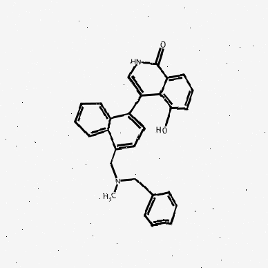 CN(Cc1ccccc1)Cc1ccc(-c2c[nH]c(=O)c3cccc(O)c23)c2ccccc12